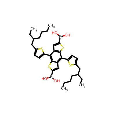 CCCCC(CC)Cc1ccc(-c2c3cc(B(O)O)sc3c(-c3ccc(CC(CC)CCCC)s3)c3cc(B(O)O)sc23)s1